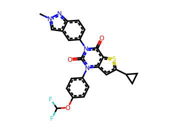 Cn1cc2cc(-n3c(=O)c4sc(C5CC5)cc4n(-c4ccc(OC(F)F)cc4)c3=O)ccc2n1